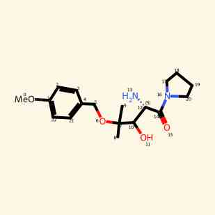 COc1ccc(COC(C)(C)C(O)[C@H](N)C(=O)N2CCCC2)cc1